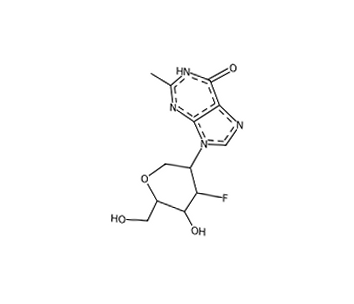 Cc1nc2c(ncn2C2COC(CO)C(O)C2F)c(=O)[nH]1